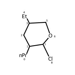 CCCC1CC(CC)COC1Cl